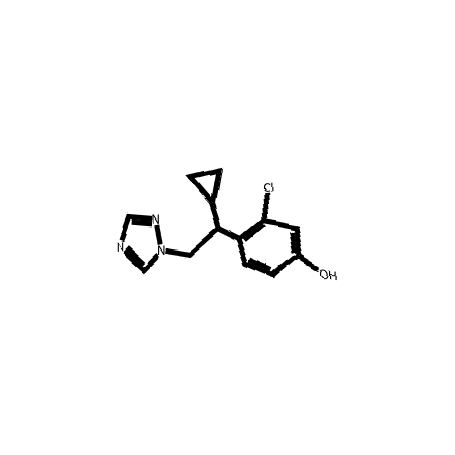 Oc1ccc(C(Cn2cncn2)C2CC2)c(Cl)c1